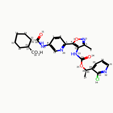 Cc1noc(-c2ccc(NC(=O)[C@H]3CCCC[C@@H]3C(=O)O)cn2)c1NC(=O)O[C@H](C)c1cccnc1Cl